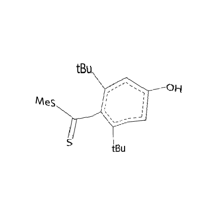 CSC(=S)c1c(C(C)(C)C)cc(O)cc1C(C)(C)C